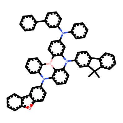 CC1(C)c2ccccc2-c2ccc(N3c4cc(N(c5ccccc5)c5cccc(-c6ccccc6)c5)ccc4B4c5ccccc5N(c5ccc6oc7ccccc7c6c5)c5cccc3c54)cc21